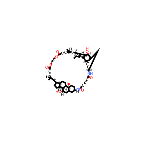 CCC[C@@H]1[C@@H]2[C@@H](O)CC3C[C@H]4CC[C@]3(C)[C@H]2CC[C@]1(C)C[C@H](C)CCC(=O)OCCOC(=O)CC[C@@H](C)[C@H]1CC[C@H]2[C@@H]3[C@@H](O)CC5C[C@@H](CC[C@]5(C)[C@H]3CC[C@]12C)NC(=O)CCCC(=O)N4